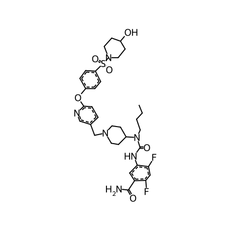 CCCCN(C(=O)Nc1cc(C(N)=O)c(F)cc1F)C1CCN(Cc2ccc(Oc3ccc(S(=O)(=O)N4CCC(O)CC4)cc3)nc2)CC1